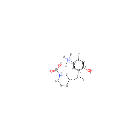 Cc1cc(O)c(C(C)C)cc1[N+](C)(C)C.O=C([O-])N1CCCCC1